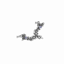 Cc1ccc(N(c2ccc(-c3ccc(-c4ccc(/C=C5/CC(=S)N(CC(=O)O)C5=O)s4)s3)cc2)c2ccc(-c3ccc(-c4ccc(/C=C5\SC(=S)N(CC(=O)O)C5=O)s4)s3)cc2)cc1